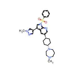 CN1CCCN([C@H]2CC[C@H](c3cnc4c(c3)c(-c3cnn(C)c3)cn4S(=O)(=O)c3ccccc3)CC2)CC1